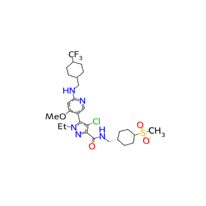 CCn1nc(C(=O)NC[C@H]2CC[C@H](S(C)(=O)=O)CC2)c(Cl)c1-c1cnc(NCC2CCC(C(F)(F)F)CC2)cc1OC